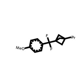 COc1ccc(C(F)(F)C23CC(C(C)C)(C2)C3)cc1